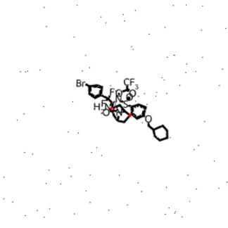 NC1CC2CCC(C1)N2C(=O)[C@@H](N(OC(=O)C(F)(F)F)S(=O)(=O)c1ccc(OCC2CCCCC2)cc1)C(F)(F)c1ccc(Br)cc1